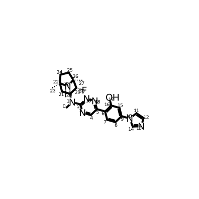 CN(c1ncc(-c2ccc(-n3ccnc3)cc2O)nn1)[C@@H]1C[C@@]2(C)CC[C@](C)(N2)[C@@H]1F